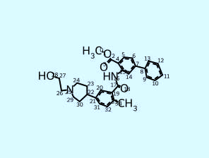 COC(=O)c1ccc(-c2ccccc2)cc1NC(=O)c1cc(C2CCN(CCO)CC2)ccc1C